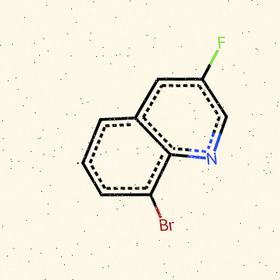 Fc1cnc2c(Br)c[c]cc2c1